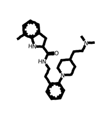 Cc1cccc2c1NC(C(=O)NCCc1ccccc1N1CCC(CCN(C)C)CC1)C2